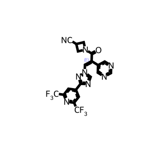 N#CC1CN(C(=O)/C(=C/n2cnc(-c3cc(C(F)(F)F)nc(C(F)(F)F)c3)n2)c2cncnc2)C1